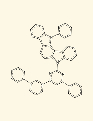 c1ccc(-c2cccc(-c3cc(-c4ccccc4)nc(-n4c5ccccc5c5c4ccc4c6ccccc6n(-c6ccccc6)c45)n3)c2)cc1